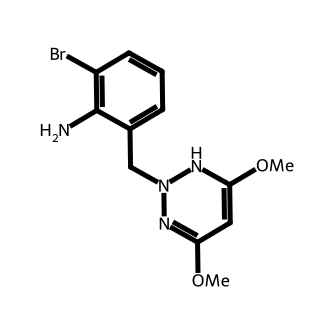 COC1=CC(OC)=NN(Cc2cccc(Br)c2N)N1